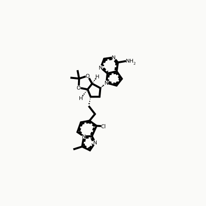 Cc1cnc2c(Cl)c(CC[C@H]3C[C@@H](n4ccc5c(N)ncnc54)[C@@H]4OC(C)(C)O[C@H]34)ccn12